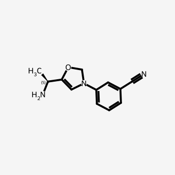 C[C@H](N)C1=CN(c2cccc(C#N)c2)CO1